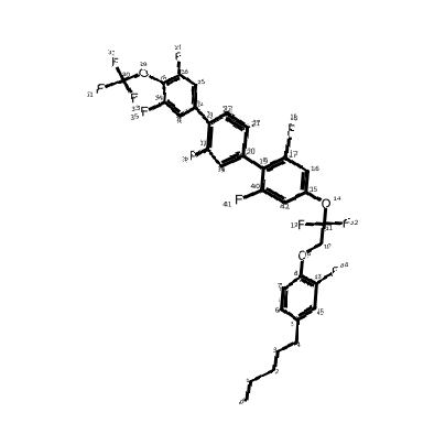 CCCCCc1ccc(OCC(F)(F)Oc2cc(F)c(-c3ccc(-c4cc(F)c(OC(F)(F)F)c(F)c4)c(F)c3)c(F)c2)c(F)c1